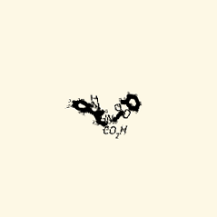 CC1CCCC[C@H]1OC(=O)CNC(Cc1c[nH]c2ccccc12)C(=O)O